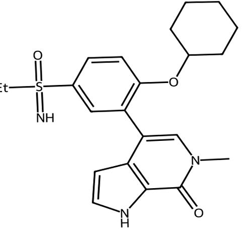 CCS(=N)(=O)c1ccc(OC2CCCCC2)c(-c2cn(C)c(=O)c3[nH]ccc23)c1